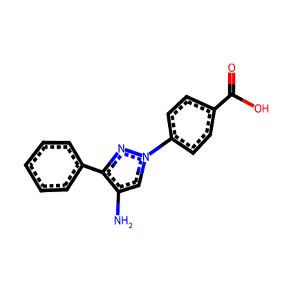 Nc1cn(-c2ccc(C(=O)O)cc2)nc1-c1ccccc1